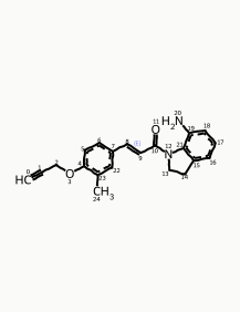 C#CCOc1ccc(/C=C/C(=O)N2CCc3cccc(N)c32)cc1C